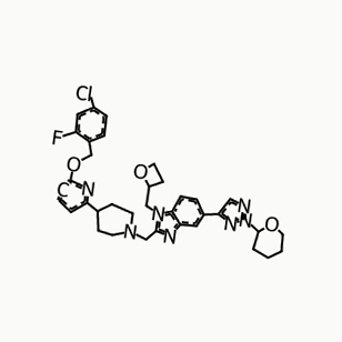 Fc1cc(Cl)ccc1COc1cccc(C2CCN(Cc3nc4cc(-c5cnn(C6CCCCO6)n5)ccc4n3CC3CCO3)CC2)n1